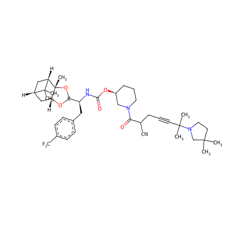 CC1(C)CCN(C(C)(C)C#CCC(C#N)C(=O)N2CCC[C@H](OC(=O)N[C@@H](Cc3ccc(C(F)(F)F)cc3)B3O[C@@H]4C[C@@H]5C[C@@H](C5(C)C)[C@]4(C)O3)C2)C1